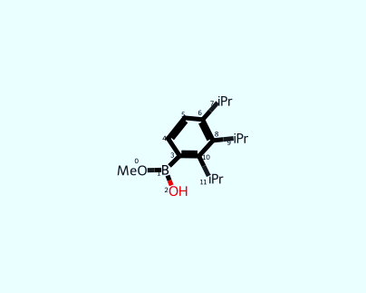 COB(O)c1ccc(C(C)C)c(C(C)C)c1C(C)C